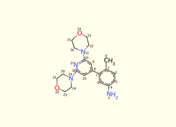 Cc1ccc(N)cc1-c1cc(N2CCOCC2)nc(N2CCOCC2)c1